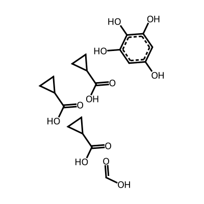 O=C(O)C1CC1.O=C(O)C1CC1.O=C(O)C1CC1.O=CO.Oc1cc(O)c(O)c(O)c1